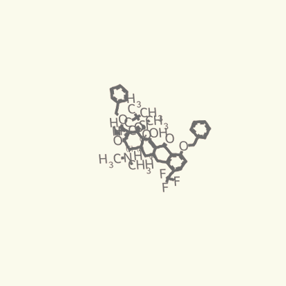 CN(C)[C@@H]1c2onc(OCc3ccccc3)c2C(=O)[C@@]2(O[Si](C)(C)C(C)(C)C)C(O)=C3C(=O)c4c(OCc5ccccc5)ccc(C(F)(F)F)c4C[C@H]3C[C@@H]12